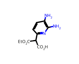 CCOC(=O)C(C(=O)O)c1ccc(N)c(N)n1